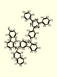 Cc1ccc2sc3c(N(c4ccc5ccccc5c4)c4ccc5c(c4)c4ccccc4n5-c4ccc(-c5nc(-c6ccccc6)nc(-c6ccccc6)n5)cc4)cccc3c2c1